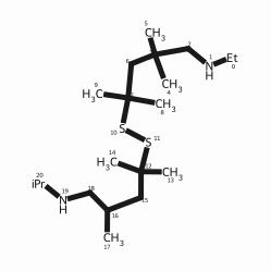 CCNCC(C)(C)CC(C)(C)SSC(C)(C)CC(C)CNC(C)C